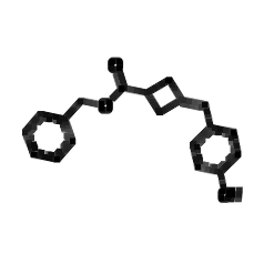 O=C(OCc1ccccc1)C1CC(=Cc2ccc(O)cc2)C1